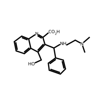 CN(C)CCNC(c1ccccc1)c1c(C(=O)O)nc2ccccc2c1CO